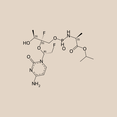 CC(C)OC(=O)[C@H](C)N[PH](=O)OC[C@@](F)(O[C@H](CF)n1ccc(N)nc1=O)[C@H](C)O